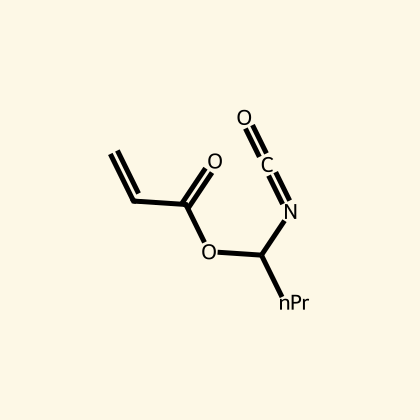 C=CC(=O)OC(CCC)N=C=O